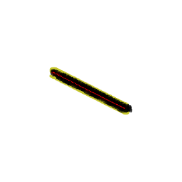 S=S=S=S=S=S=S=S=S=S=S=S=S=S=S=S=S=S=S=S=S=S=S=S=S=S=S=S=S=S=S=S=S=S=S=S=S=S=S=S=S=S=S=S=S=S=S=S=S=S=S=S=S=S=S=S=S=S=S=S=S=S=S=S=S=S=S=S=S=S=S=S=S=S=S=S=S=S=S=S=S=S=S=S=S=S=S=S=S=S=S=S=S=S=S=S=S=S=S=S=S=S=S=S=S